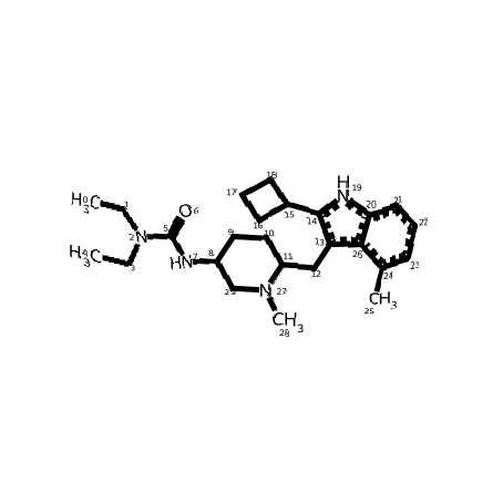 CCN(CC)C(=O)NC1CCC(Cc2c(C3CCC3)[nH]c3cccc(C)c23)N(C)C1